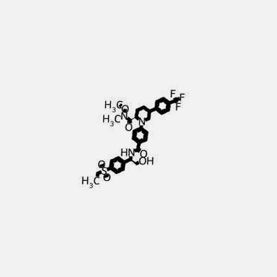 CCS(=O)(=O)c1ccc([C@H](CO)NC(=O)c2ccc(N3CC(c4ccc(C(F)(F)F)cc4)CC[C@H]3C(=O)N(C)OC)cc2)cc1